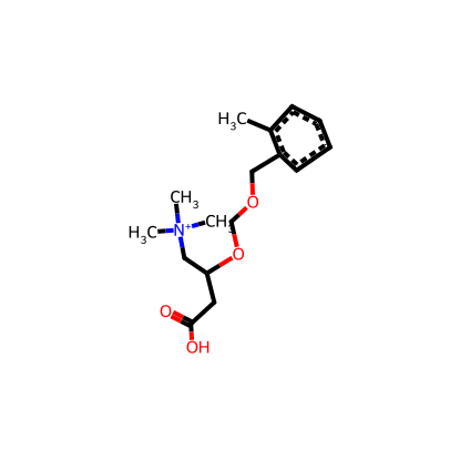 Cc1ccccc1COCOC(CC(=O)O)C[N+](C)(C)C